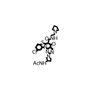 CC(=O)NC1CCN(c2ncc3c(=O)c(C(=O)NCCN4CCCC4)c4sc5ccc(Cl)cc5n4c3n2)C1